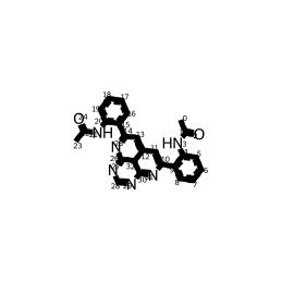 CC(=O)Nc1ccccc1C1=CC2=CC(c3ccccc3NC(C)=O)=NC3=NC=NC(=N1)C23